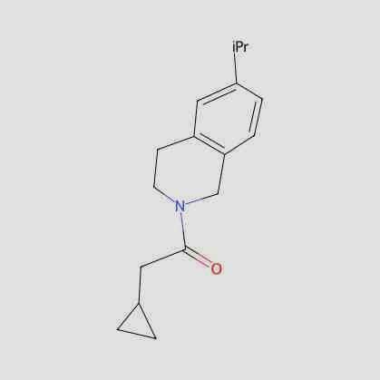 CC(C)c1ccc2c(c1)CCN(C(=O)CC1CC1)C2